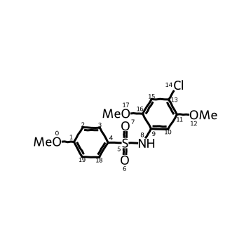 COc1ccc(S(=O)(=O)Nc2cc(OC)c(Cl)cc2OC)cc1